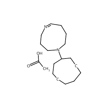 C1=NCCCN(C2CCCCCCCC2)CCC1.CC(=O)O